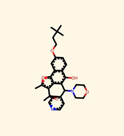 CC(=O)c1c(C)oc2c1c(C(c1ccncc1)N1CCOCC1)c(O)c1ccc(OCCC(C)(C)C)cc12